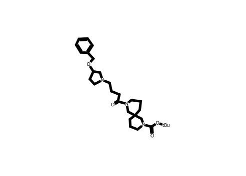 CC(C)(C)OC(=O)N1CCCC2(CCCN(C(=O)CCCN3CCC(OCc4ccccc4)C3)C2)C1